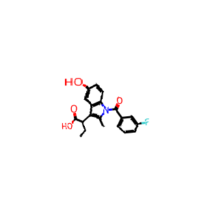 CCC(C(=O)O)c1c(C)n(C(=O)c2cccc(F)c2)c2ccc(O)cc12